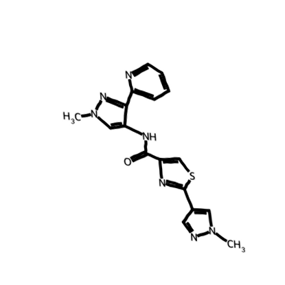 Cn1cc(-c2nc(C(=O)Nc3cn(C)nc3-c3ccccn3)cs2)cn1